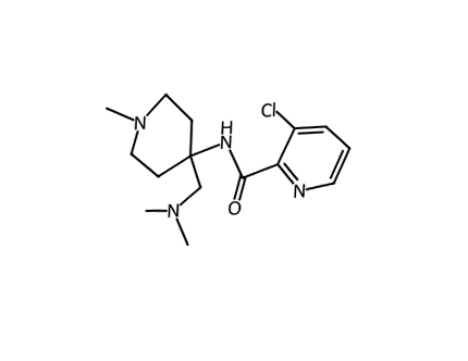 CN(C)CC1(NC(=O)c2ncccc2Cl)CCN(C)CC1